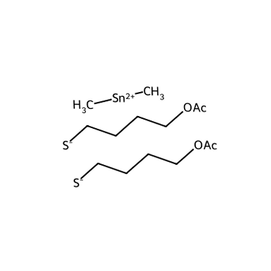 CC(=O)OCCCC[S-].CC(=O)OCCCC[S-].[CH3][Sn+2][CH3]